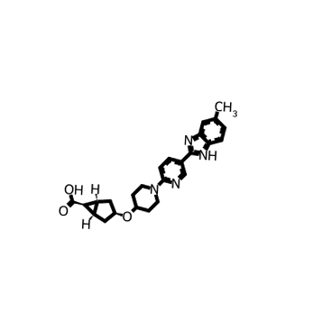 Cc1ccc2[nH]c(-c3ccc(N4CCC(O[C@H]5C[C@@H]6[C@H](C5)[C@@H]6C(=O)O)CC4)nc3)nc2c1